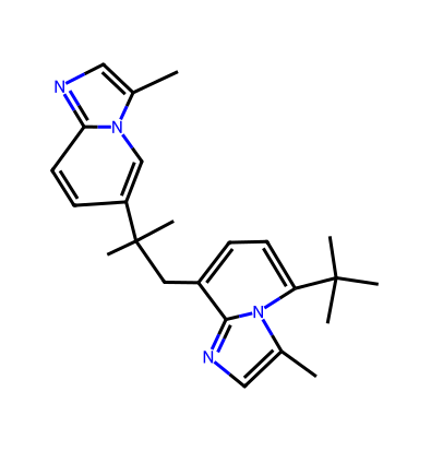 Cc1cnc2ccc(C(C)(C)Cc3ccc(C(C)(C)C)n4c(C)cnc34)cn12